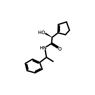 CC(NC(=O)[C@@H](O)C1=CCCC1)c1ccccc1